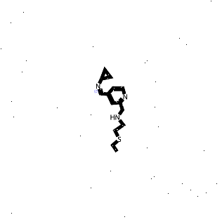 CCSCCNCc1cc(/C=N\C2CC2)ccn1